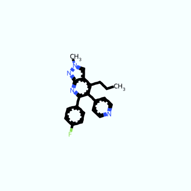 CCCc1c(-c2ccncc2)c(-c2ccc(F)cc2)nc2nn(C)cc12